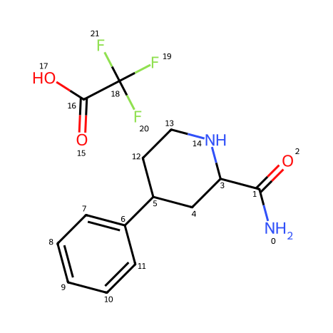 NC(=O)C1CC(c2ccccc2)CCN1.O=C(O)C(F)(F)F